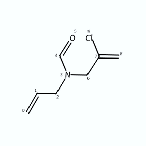 C=CCN([C]=O)CC(=C)Cl